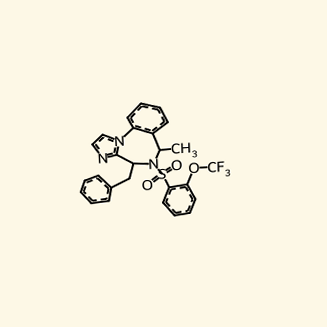 CC1c2ccccc2-n2ccnc2C(Cc2ccccc2)N1S(=O)(=O)c1ccccc1OC(F)(F)F